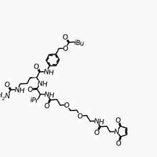 CCC(C)C(=O)OCc1ccc(NC(=O)[C@H](CCCNC(N)=O)NC(=O)C(NC(=O)CCOCCOCCNC(=O)CCN2C(=O)C=CC2=O)C(C)C)cc1